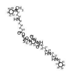 CN(CCCNCCCCCC(=O)OCC1OC(n2ccc(NC(=O)CCCCCNCCCNCc3ccccc3)nc2=O)CS1)c1ccccc1